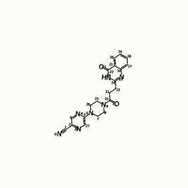 N#Cc1cnc(N2CCN(C(=O)CCc3nc4ccccc4c(=O)[nH]3)CC2)cn1